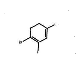 FC1=CC(F)=C(Br)[CH]C1